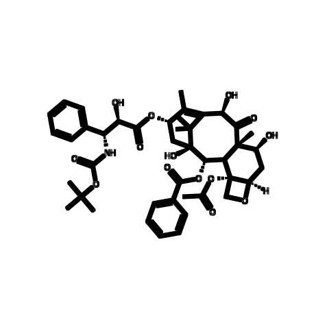 CC(=O)O[C@@]12CO[C@@H]1C[C@H](O)[C@@]1(C)C(=O)[C@H](O)C3=C(C)[C@@H](OC(=O)[C@H](O)[C@H](NC(=O)OC(C)(C)C)c4ccccc4)C[C@@](O)([C@@H](OC(=O)c4ccccc4)C12)C3(C)C